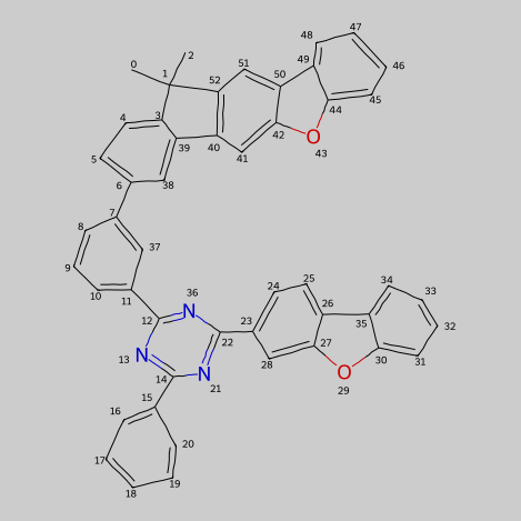 CC1(C)c2ccc(-c3cccc(-c4nc(-c5ccccc5)nc(-c5ccc6c(c5)oc5ccccc56)n4)c3)cc2-c2cc3oc4ccccc4c3cc21